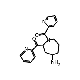 NC1CCCN(C(=O)c2ccccn2)C(C(=O)c2ccccn2)C1